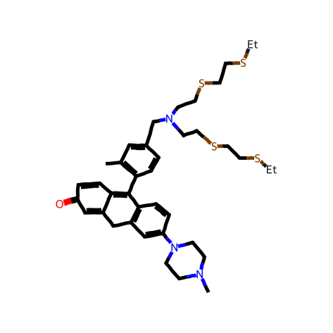 CCSCCSCCN(CCSCCSCC)Cc1ccc(C2=C3C=CC(=O)C=C3Cc3cc(N4CCN(C)CC4)ccc32)c(C)c1